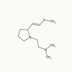 CS/C=C/C1CCCN1CCN(C)C